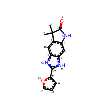 CC1(C)C(=O)Nc2cc3[nH]c(-c4ccco4)nc3cc21